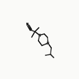 C[C](C)CN1CCN(C(C)(C)C#N)CC1